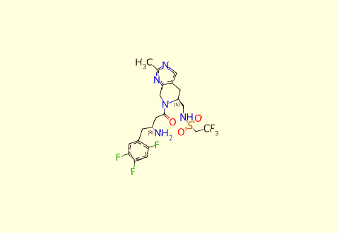 Cc1ncc2c(n1)CN(C(=O)C[C@H](N)Cc1cc(F)c(F)cc1F)[C@H](CNS(=O)(=O)CC(F)(F)F)C2